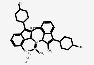 CC1=C(C2CCC(C)CC2)c2cccc(C)c2[CH]1[Zr+2]([CH]1C(C)=C(C2CCC(C)CC2)c2cccc(C)c21)=[Si](C)C.[Cl-].[Cl-]